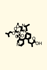 COc1nc(C)cnc1N(C(=O)OCC(C)C)S(=O)(=O)c1cnccc1-c1ccccc1CC(C)C(=O)O